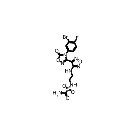 NC(=O)S(=O)(=O)NCCNc1nonc1-c1noc(=O)n1-c1ccc(F)c(Br)c1